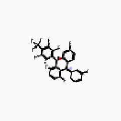 CC(c1c(F)c(F)c(C(F)(F)F)c(F)c1F)c1c(F)ccc(F)c1/C(=C1/C=C(F)C=CC1)c1ccc(F)cc1F